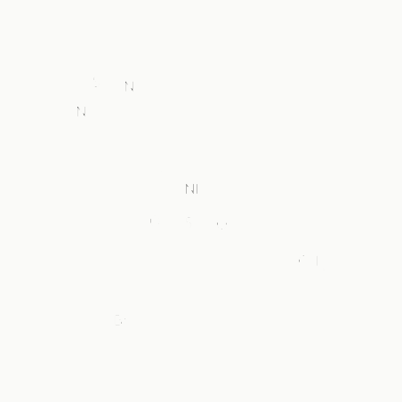 CCCc1ccc(Br)cc1S(=O)(=O)Nc1ccc2nsnc2c1